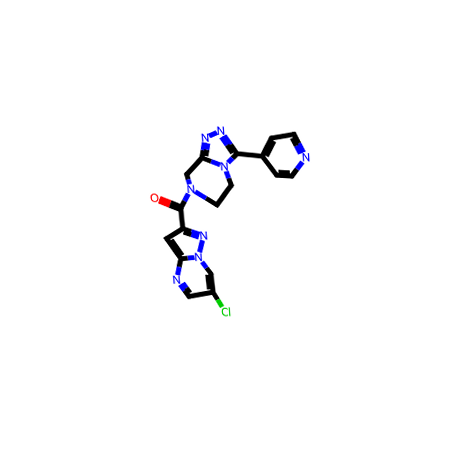 O=C(c1cc2ncc(Cl)cn2n1)N1CCn2c(nnc2-c2ccncc2)C1